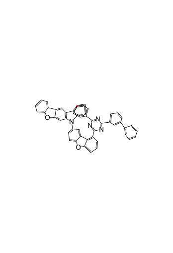 c1ccc(-c2cccc(-c3nc(-c4ccccc4)nc(-c4cccc5oc6ccc(-n7c8ccccc8c8cc9c(cc87)oc7ccccc79)cc6c45)n3)c2)cc1